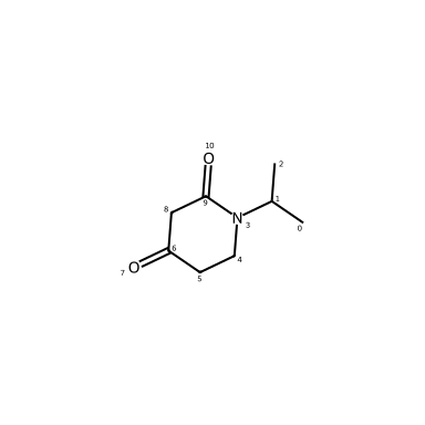 CC(C)N1CCC(=O)CC1=O